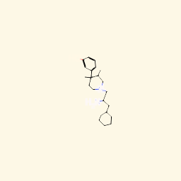 CC1CN(CC(N)CC2CCCCC2)CCC1(C)c1cccc(O)c1